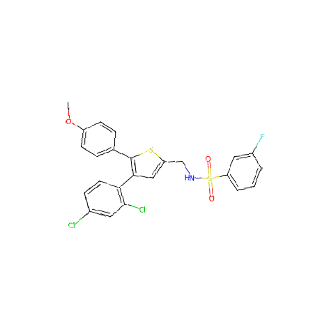 COc1ccc(-c2sc(CNS(=O)(=O)c3cccc(F)c3)cc2-c2ccc(Cl)cc2Cl)cc1